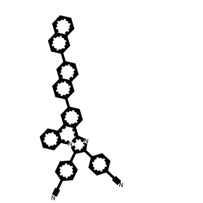 N#Cc1ccc(-c2nc3c4ccc(-c5ccc6cc(-c7ccc8ccccc8c7)ccc6c5)cc4c4ccccc4n3c2-c2ccc(C#N)cc2)cc1